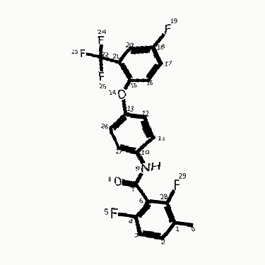 Cc1ccc(F)c(C(=O)Nc2ccc(Oc3ccc(F)cc3C(F)(F)F)cc2)c1F